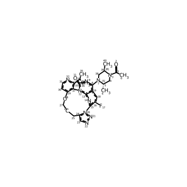 CC(=O)N1C[C@H](C)N(c2nc(=O)n3c4nc(c(F)cc24)-n2nncc2CCCOc2ccnc(C(C)C)c2-3)C[C@H]1C